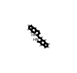 [c]1[nH]c(-c2ccc3cc4cccc4cc3[nH]2)cc2cc3cccc3cc12